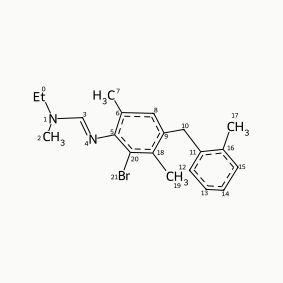 CCN(C)C=Nc1c(C)cc(Cc2ccccc2C)c(C)c1Br